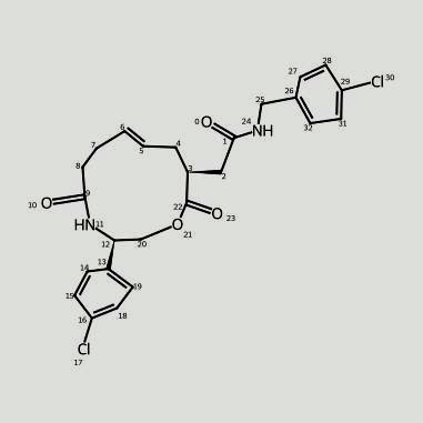 O=C(C[C@@H]1C/C=C/CCC(=O)N[C@H](c2ccc(Cl)cc2)COC1=O)NCc1ccc(Cl)cc1